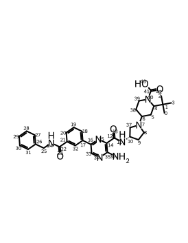 CC(C)(C)C1CC(N2CC[C@H](NC(=O)c3nc(-c4cccc(C(=O)NCc5ccccc5)c4)cnc3N)C2)CCN1C(=O)O